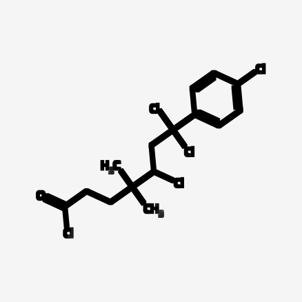 CC(C)(CCC(=O)Cl)C(Cl)CC(Cl)(Cl)c1ccc(Cl)cc1